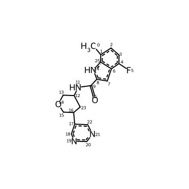 Cc1ccc(F)c2cc(C(=O)NC3COCC(c4cncnc4)C3)[nH]c12